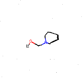 CCO[CH]N1CCCCC1